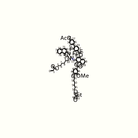 C=CC(=O)OCCCCCCN(/N=C/c1cc(OC(F)(F)c2ccc(-c3ccc(OC(C)=O)cc3)c(F)c2F)c2ccccc2c1OC(=O)c1ccc(OCCCCCCOCC2(CC)COC2)c(OC)c1)c1nc2ccc3ccccc3c2s1